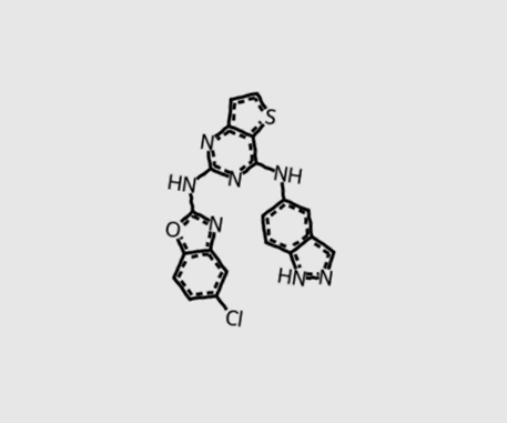 Clc1ccc2oc(Nc3nc(Nc4ccc5[nH]ncc5c4)c4sccc4n3)nc2c1